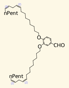 CCCCC/C=C\C/C=C\CCCCCCCCOc1ccc(C=O)cc1OCCCCCCCC/C=C\C/C=C\CCCCC